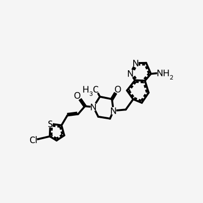 CC1C(=O)N(Cc2ccc3c(N)cnnc3c2)CCN1C(=O)C=Cc1ccc(Cl)s1